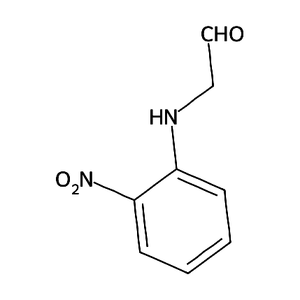 O=CCNc1ccccc1[N+](=O)[O-]